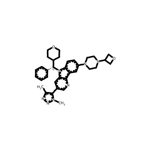 Cc1nnn(C)c1-c1cnc2c3cc(N4CCN(C5COC5)CC4)ccc3n([C@H](c3ccccc3)C3CCOCC3)c2c1